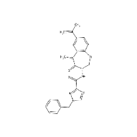 C=C(C)c1ccc2c(c1)N(C)C(=O)[C@@H](NC(=O)c1ncn(Cc3ccccc3)n1)CO2